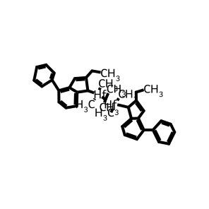 CCC1=Cc2c(-c3ccccc3)cccc2[CH]1[Hf]([CH3])([CH3])[C](C)(C)[Hf]([CH3])([CH3])[CH]1C(CC)=Cc2c(-c3ccccc3)cccc21